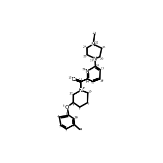 Cc1cccc(OC2CCCN(C(=O)c3cccc(N4CCN(C)CC4)n3)C2)c1